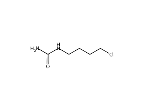 NC(=O)NCCCCCl